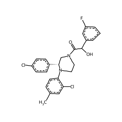 Cc1ccc(N2CCN(C(=O)C(O)c3cccc(F)c3)C[C@H]2c2ccc(Cl)cc2)c(Cl)c1